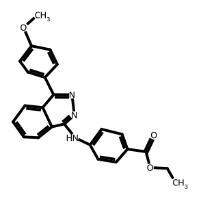 CCOC(=O)c1ccc(Nc2nnc(-c3ccc(OC)cc3)c3ccccc23)cc1